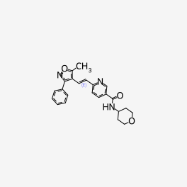 Cc1onc(-c2ccccc2)c1/C=C/c1ccc(C(=O)NC2CCOCC2)cn1